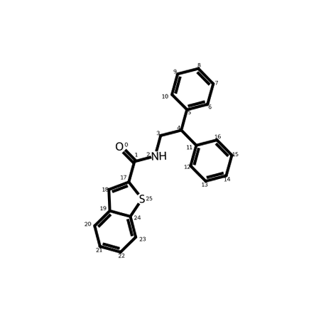 O=C(NCC(c1ccccc1)c1ccccc1)c1cc2ccccc2s1